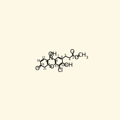 COC(=O)CCc1cc2c(c(Cl)c1O)OC1=C(C=CC(=O)C1)N2O